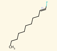 CCCCCCCCC/C=C/F